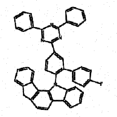 Fc1ccc(-c2cc(-c3nc(-c4ccccc4)nc(-c4ccccc4)n3)ccc2-n2c3ccccc3c3ccc4c(c32)-c2ccccc2C4)cc1